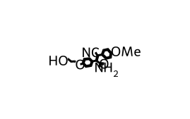 COc1ccc(/C(C#N)=C(\C(N)=O)c2ccc(OCCCO)cc2)cc1